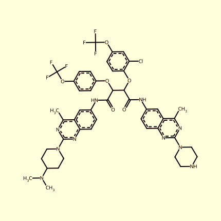 Cc1nc(N2CCNCC2)nc2ccc(NC(=O)C(Oc3ccc(OC(F)(F)F)cc3Cl)C(Oc3ccc(OC(F)(F)F)cc3)C(=O)Nc3ccc4nc(N5CCC(N(C)C)CC5)nc(C)c4c3)cc12